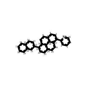 c1ccc(-c2ccc3ccc4c(-c5ccc6ccccc6c5)ccc5ccc2c3c54)nc1